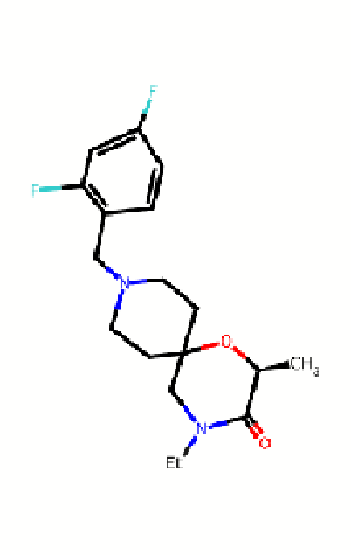 CCN1CC2(CCN(Cc3ccc(F)cc3F)CC2)O[C@@H](C)C1=O